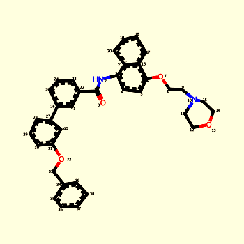 O=C(Nc1ccc(OCCN2CCOCC2)c2ccccc12)c1cccc(-c2cccc(OCc3ccccc3)c2)c1